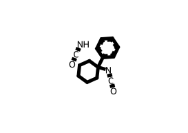 N=C=O.O=C=NC1(c2ccccc2)CCCCC1